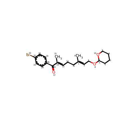 C/C(=C\COC1CCCCO1)CC/C=C(\C)C(=O)c1ccc(Br)cc1